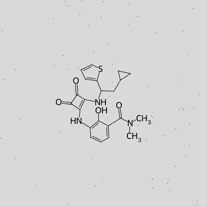 CN(C)C(=O)c1cccc(Nc2c(NC(CC3CC3)c3cccs3)c(=O)c2=O)c1O